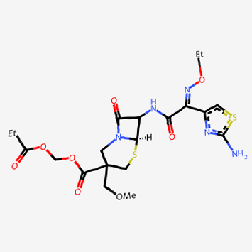 CCON=C(C(=O)NC1C(=O)N2CC(COC)(C(=O)OCOC(=O)CC)CS[C@H]12)c1csc(N)n1